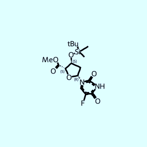 COC(=O)[C@H]1O[C@@H](n2cc(F)c(=O)[nH]c2=O)C[C@@H]1O[Si](C)(C)C(C)(C)C